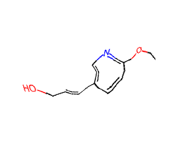 COc1ccc(C=CCO)cn1